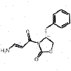 N/C=C/C(=O)N1C(=O)OC[C@H]1Cc1ccccc1